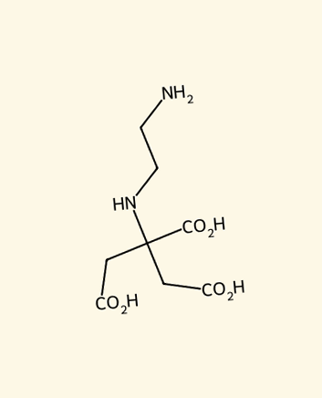 NCCNC(CC(=O)O)(CC(=O)O)C(=O)O